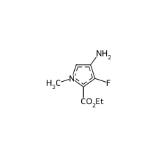 CCOC(=O)c1c(F)c(N)cn1C